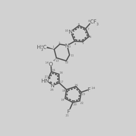 C[C@H]1CN(c2ccc(C(F)(F)F)cn2)CC[C@@H]1Oc1cc(-c2cc(F)cc(F)c2)n[nH]1